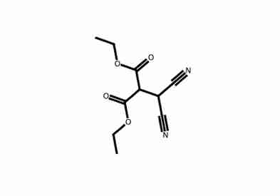 CCOC(=O)C(C(=O)OCC)C(C#N)C#N